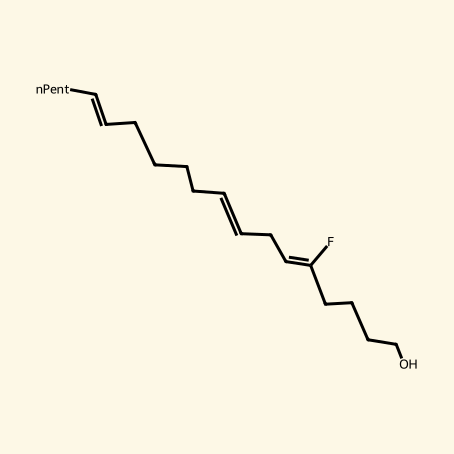 CCCCCC=CCCCCC=CCC=C(F)CCCCO